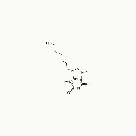 CN1CN(CCCCCCO)c2c1c(=O)[nH]c(=O)n2C